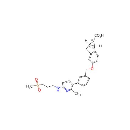 Cc1nc(NCCCS(C)(=O)=O)ccc1-c1cccc(COc2ccc3c(c2)C[C@H]2[C@H](C(=O)O)[C@@H]32)c1